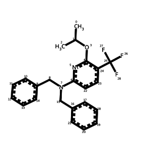 CC(C)Oc1nc(N(Cc2ccccc2)Cc2ccccc2)ccc1C(F)(F)F